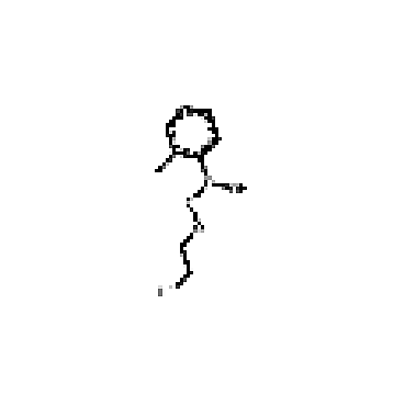 Cc1ccccc1B(O)OOCCO